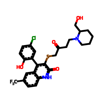 O=C(CCN1CCCCC1CO)CSc1c(-c2cc(Cl)ccc2O)c2cc(C(F)(F)F)ccc2[nH]c1=O